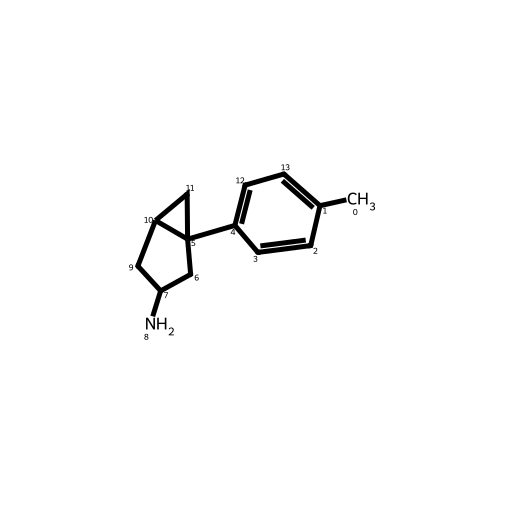 Cc1ccc(C23CC(N)CC2C3)cc1